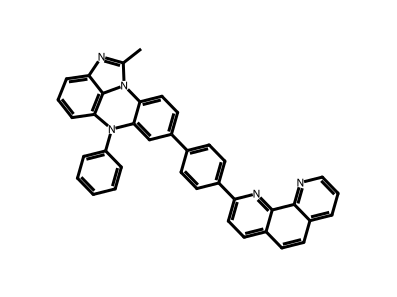 Cc1nc2cccc3c2n1-c1ccc(-c2ccc(-c4ccc5ccc6cccnc6c5n4)cc2)cc1N3c1ccccc1